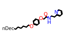 CCCCCCCCCCCCCCCCOc1ccc(OCC(=O)NCCc2ccccn2)cc1